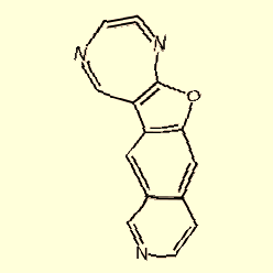 C1=CN=Cc2c(oc3cc4ccncc4cc23)N=1